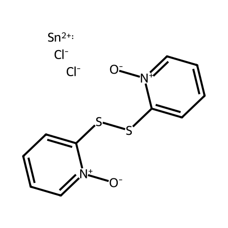 [Cl-].[Cl-].[O-][n+]1ccccc1SSc1cccc[n+]1[O-].[Sn+2]